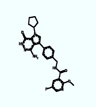 COc1ncc(F)cc1C(=O)NCc1ccc(-c2cn(C3CCCC3)c3c(=O)[nH]nc(N)c23)cc1